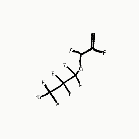 C=C(F)C(F)OC(F)(F)C(F)(F)C(O)(F)F